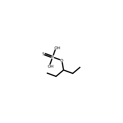 CCC(CC)OP(O)(O)=S